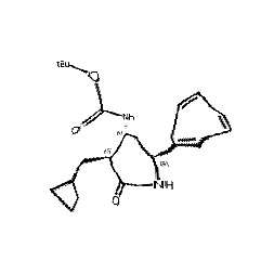 CC(C)(C)OC(=O)N[C@H]1[C@H](CC2CC2)C(=O)N[C@@H]1c1ccccc1